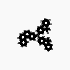 CC1(C)c2ccccc2-c2ccc(N(c3ccc4c(c3)C(C)(C)c3ccccc3-4)c3ccc4c(ccc5ccc6ccccc6c54)c3)cc21